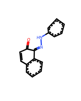 O=C1C=Cc2ccccc2C1=NNc1ccccc1